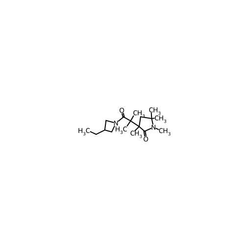 CCC1CN(C(=O)C(C)(C)C2(C)CC(C)(C)N(C)C2=O)C1